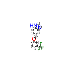 FC(F)(F)c1cccc(OCC2CCc3[nH]cnc3C2)c1